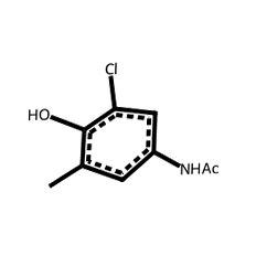 CC(=O)Nc1cc(C)c(O)c(Cl)c1